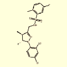 Cc1ccc(F)cc1S(=O)(=O)NCC1=NN(c2ccc(Cl)cc2Cl)[C@H](I)[C@H]1C